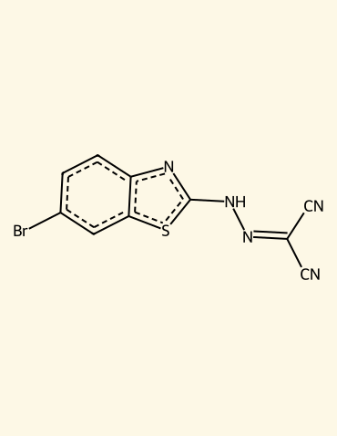 N#CC(C#N)=NNc1nc2ccc(Br)cc2s1